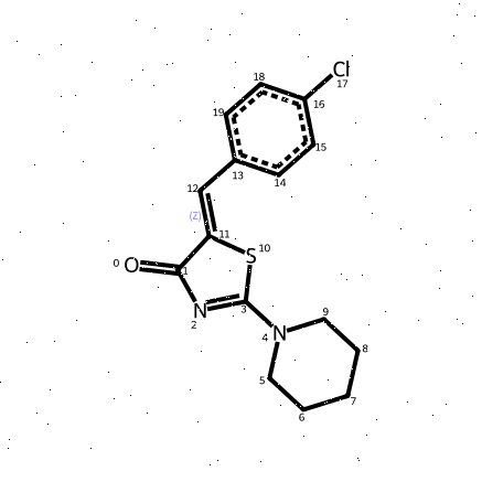 O=C1N=C(N2CCCCC2)S/C1=C\c1ccc(Cl)cc1